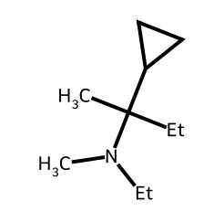 CCN(C)C(C)(CC)C1CC1